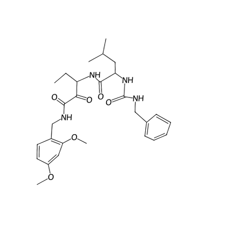 CCC(NC(=O)C(CC(C)C)NC(=O)NCc1ccccc1)C(=O)C(=O)NCc1ccc(OC)cc1OC